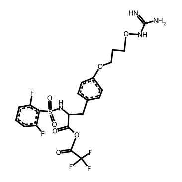 N=C(N)NOCCCOc1ccc(C[C@H](NS(=O)(=O)c2c(F)cccc2F)C(=O)OC(=O)C(F)(F)F)cc1